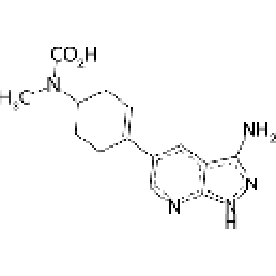 CN(C(=O)O)C1CC=C(c2cnc3[nH]nc(N)c3c2)CC1